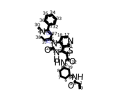 C=CC(=O)N[C@H]1CCC[C@@H](NC(=O)c2sc3nccc4c3c2NC(=O)N4C(/C=C(\N=C)c2ccccc2)=C/C)C1